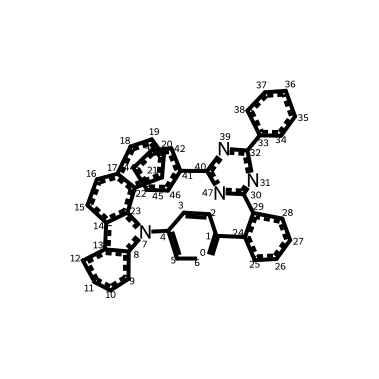 C=C(/C=C\C(=C/C)n1c2ccccc2c2ccc3ccccc3c21)c1ccccc1-c1nc(-c2ccccc2)nc(-c2ccccc2)n1